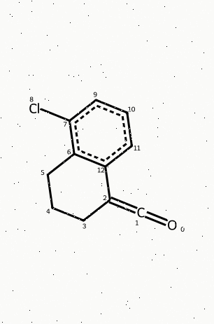 O=C=C1CCCc2c(Cl)cccc21